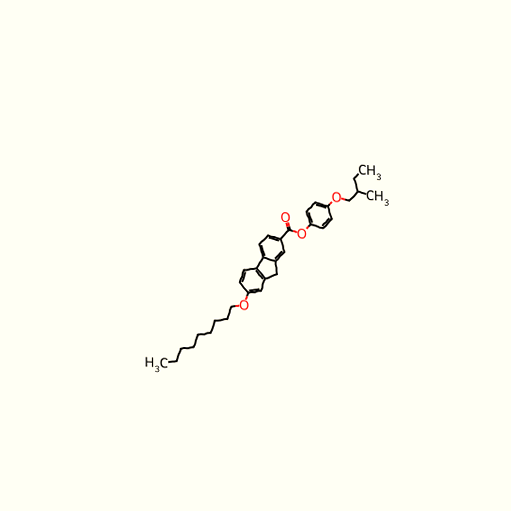 CCCCCCCCCOc1ccc2c(c1)Cc1cc(C(=O)Oc3ccc(OCC(C)CC)cc3)ccc1-2